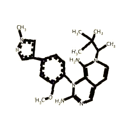 COc1cc(-c2cnn(C)c2)ccc1N1C(N)=NC=C2C=CN(C(C)C(C)(C)C)C(N)=C21